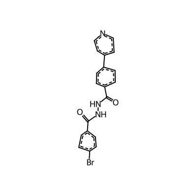 O=C(NNC(=O)c1ccc(-c2ccncc2)cc1)c1ccc(Br)cc1